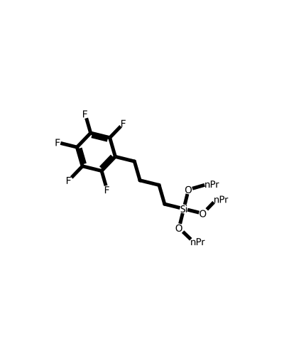 CCCO[Si](CCCCc1c(F)c(F)c(F)c(F)c1F)(OCCC)OCCC